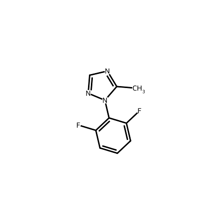 Cc1ncnn1-c1c(F)cccc1F